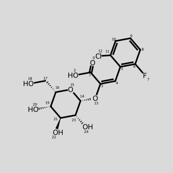 O=C(O)/C(=C\c1c(F)cccc1Cl)O[C@H]1O[C@@H](CO)[C@@H](O)[C@H](O)[C@H]1O